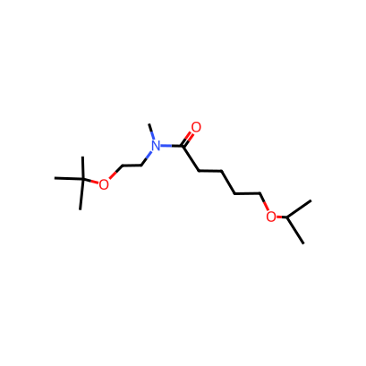 CC(C)OCCCCC(=O)N(C)CCOC(C)(C)C